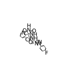 O=C1NC(=O)[C@@](CNC(=O)c2cnn(-c3ccc(F)cc3)n2)(c2ncccc2C(F)(F)F)N1